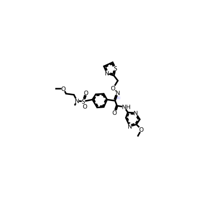 COCCN(C)S(=O)(=O)c1ccc(/C(=N\OCc2nccs2)C(=O)Nc2cnc(OC)cn2)cc1